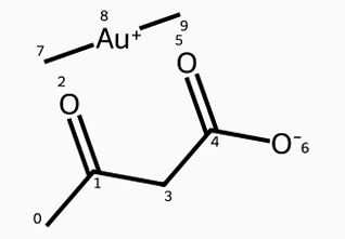 CC(=O)CC(=O)[O-].[CH3][Au+][CH3]